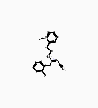 Cc1ccccc1C/C(=N\C#N)NCCc1ccccc1Cl